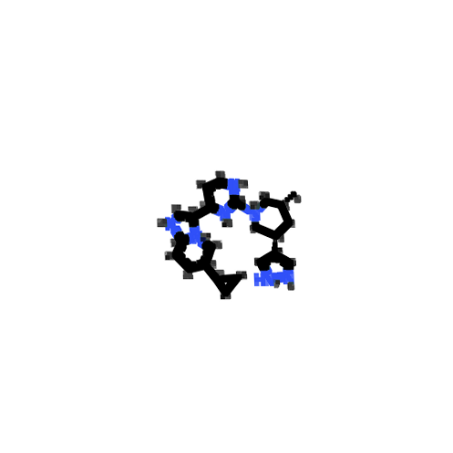 C[C@@H]1C[C@H](c2cn[nH]c2)CN(c2nccc(-c3cnc4ccc(C5CC5)cn34)n2)C1